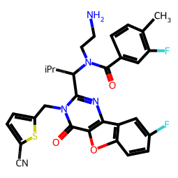 Cc1ccc(C(=O)N(CCN)C(c2nc3c(oc4ccc(F)cc43)c(=O)n2Cc2ccc(C#N)s2)C(C)C)cc1F